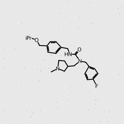 CC(C)OCc1ccc(CNC(=O)N(Cc2ccc(F)cc2)CC2CCN(C)C2)cc1